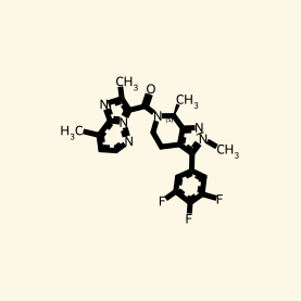 Cc1nc2c(C)ccnn2c1C(=O)N1CCc2c(nn(C)c2-c2cc(F)c(F)c(F)c2)[C@@H]1C